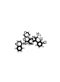 Cc1nn2c(N3CCOCC3)c(C(=O)N[C@H]3CCOc4ccccc43)cnc2c1-c1cccc(Cl)c1Cl